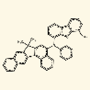 CC(C)(C)c1cccc2c1oc1c(N(c3ccccc3)c3cc4c(c5ccccc35)-c3cc5ccccc5cc3C4(C)C)cccc12